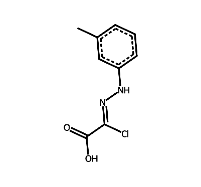 Cc1cccc(N/N=C(\Cl)C(=O)O)c1